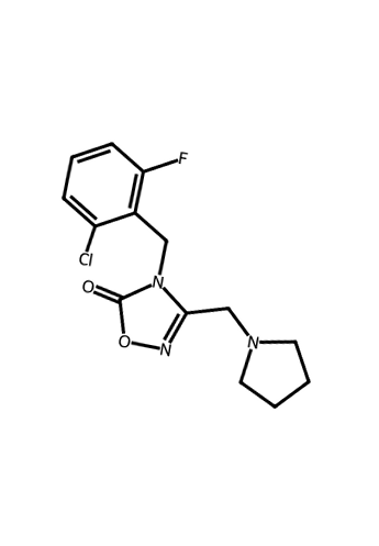 O=c1onc(CN2CCCC2)n1Cc1c(F)cccc1Cl